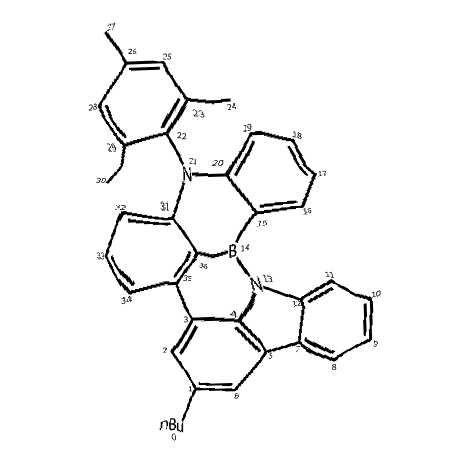 CCCCc1cc2c3c(c1)c1ccccc1n3B1c3ccccc3N(c3c(C)cc(C)cc3C)c3cccc-2c31